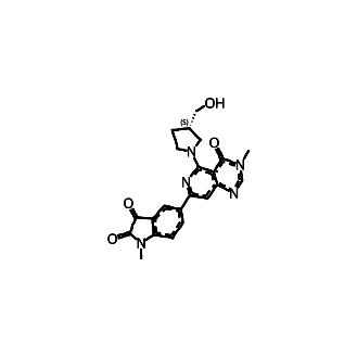 CN1C(=O)C(=O)c2cc(-c3cc4ncn(C)c(=O)c4c(N4CC[C@H](CO)C4)n3)ccc21